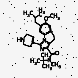 COc1cc2c(cc1CC(C)C)-n1c(C3=CCNCC3)nc(C(=O)N(C)C(C)(C)C)c1CC2